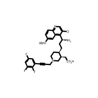 COc1ccc2ncc(Cl)c([C@@H](N)CC[C@@H]3CCN(CC#Cc4cc(F)cc(F)c4F)C[C@@H]3CC(=O)O)c2c1